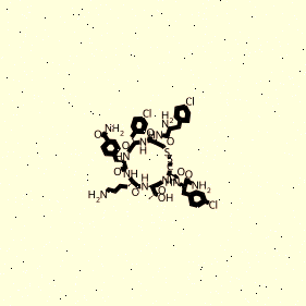 C[C@@H](O)[C@@H]1NC(=O)[C@H](CCCCN)NC(=O)[C@@H](Cc2ccc(C(N)=O)cc2)NC(=O)[C@H](Cc2ccc(Cl)cc2)NC(=O)[C@H](NC(=O)[C@@H](N)Cc2ccc(Cl)cc2)CSSC[C@@H](C(=O)NC(Cc2ccc(Cl)cc2)C(N)=O)NC1=O